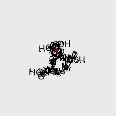 O=C(O)c1ccc(C2=C3C=CC(=N3)/C=c3/ccc([nH]3)=C(c3ccc(C(=O)O)cc3)C3=NC(=C(c4ccc(C(=O)O)cc4)C4(c5ccc(C(=O)O)cc5)CC=C2N4)C=C3)cc1